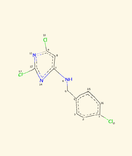 Clc1ccc(CNc2cc(Cl)nc(Cl)n2)cc1